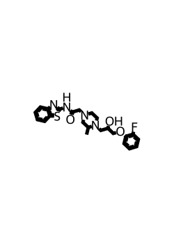 CC1CN(CC(=O)Nc2nc3ccccc3s2)CCN1CC(O)COc1ccccc1F